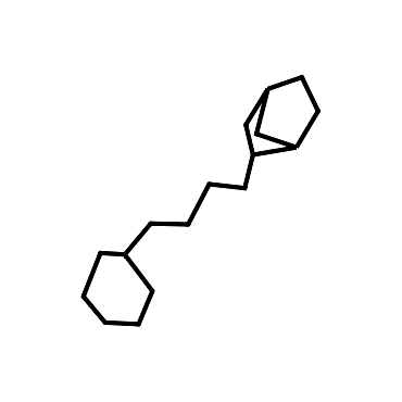 C1CC[C](CCCCC2CC3CCC2C3)CC1